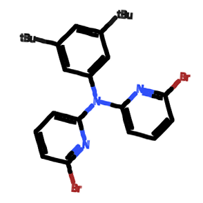 CC(C)(C)c1cc(N(c2cccc(Br)n2)c2cccc(Br)n2)cc(C(C)(C)C)c1